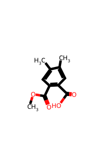 COC(=O)c1cc(C)c(C)cc1C(=O)O